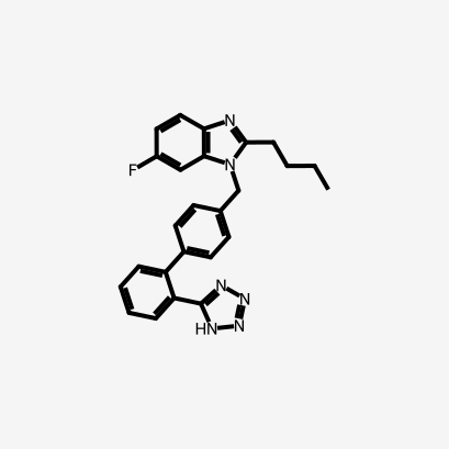 CCCCc1nc2ccc(F)cc2n1Cc1ccc(-c2ccccc2-c2nnn[nH]2)cc1